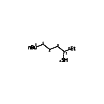 [CH2]CC(S)CCCCCCC